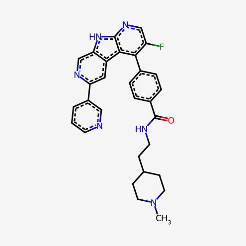 CN1CCC(CCNC(=O)c2ccc(-c3c(F)cnc4[nH]c5cnc(-c6cccnc6)cc5c34)cc2)CC1